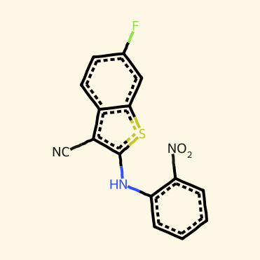 N#Cc1c(Nc2ccccc2[N+](=O)[O-])sc2cc(F)ccc12